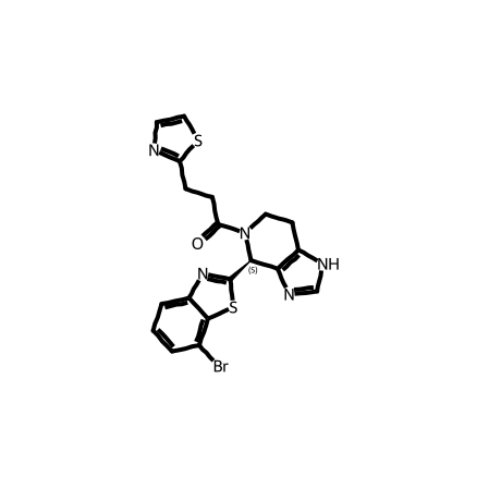 O=C(CCc1nccs1)N1CCc2[nH]cnc2[C@H]1c1nc2cccc(Br)c2s1